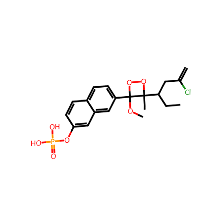 C=C(Cl)CC(CC)C1(C)OOC1(OC)c1ccc2ccc(OP(=O)(O)O)cc2c1